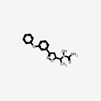 CC(C1CC(c2cccc(Oc3ccccc3)c2)=NO1)N(O)C(N)=O